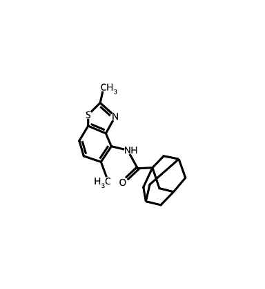 Cc1nc2c(NC(=O)C34CC5CC(CC(C5)C3)C4)c(C)ccc2s1